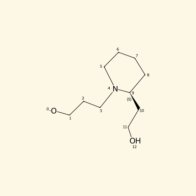 [O]CCCN1CCCC[C@H]1CCO